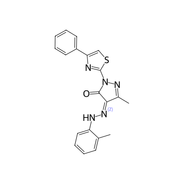 CC1=NN(c2nc(-c3ccccc3)cs2)C(=O)/C1=N\Nc1ccccc1C